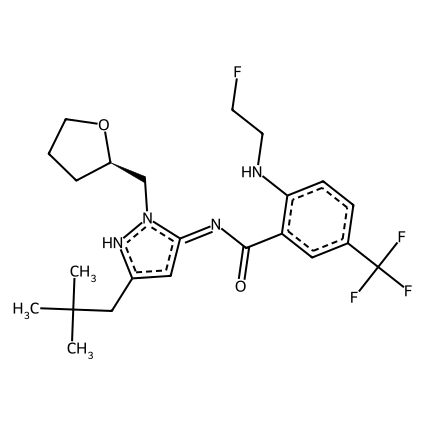 CC(C)(C)Cc1cc(=NC(=O)c2cc(C(F)(F)F)ccc2NCCF)n(C[C@H]2CCCO2)[nH]1